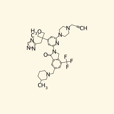 C#CCN1CCN(c2cc(C3(Cc4nncn4C)COC3)cc(N3Cc4c(cc(CN5CCCC(C)C5)cc4C(F)(F)F)C3=O)n2)CC1